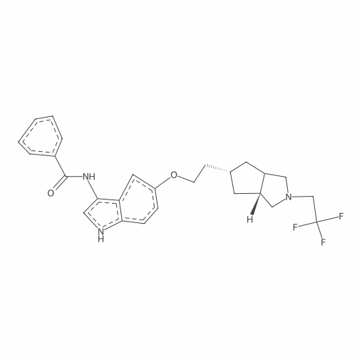 O=C(Nc1c[nH]c2ccc(OCC[C@@H]3CC4CN(CC(F)(F)F)C[C@@H]4C3)cc12)c1ccccc1